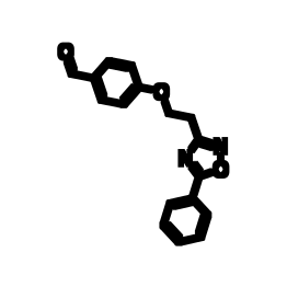 O=Cc1ccc(OCCc2noc(-c3ccccc3)n2)cc1